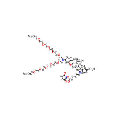 COCCOCCOCCOCCOCCOCCN(CCOCCOCCOCCOCCOCCOC)c1ccc2c(C(C)(C)C)cc(/C=C/C=C3/N(CCCCCC(=O)ON4C(=O)CCC4=O)c4ccc(S(=O)(=O)O)cc4C3(C)CCCS(=O)(=O)O)[o+]c2c1